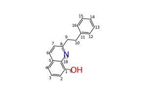 Oc1cccc2ccc(CCc3ccccc3)nc12